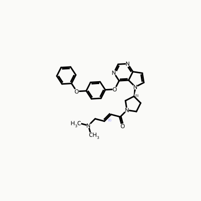 CN(C)C/C=C/C(=O)N1CC[C@H](n2ccc3ncnc(Oc4ccc(Oc5ccccc5)cc4)c32)C1